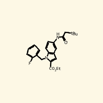 CCOC(=O)c1cc2cc(NC(=O)CC(C)(C)C)ccc2n1Cc1ccccc1F